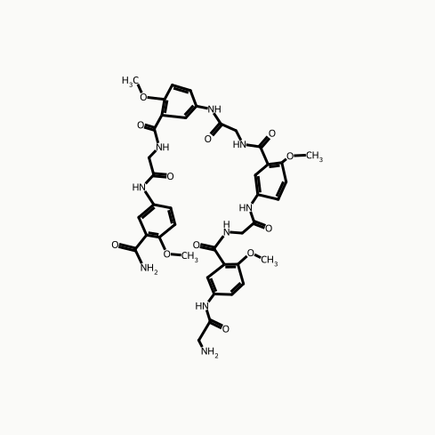 COc1ccc(NC(=O)CNC(=O)c2cc(NC(=O)CNC(=O)c3cc(NC(=O)CNC(=O)c4cc(NC(=O)CN)ccc4OC)ccc3OC)ccc2OC)cc1C(N)=O